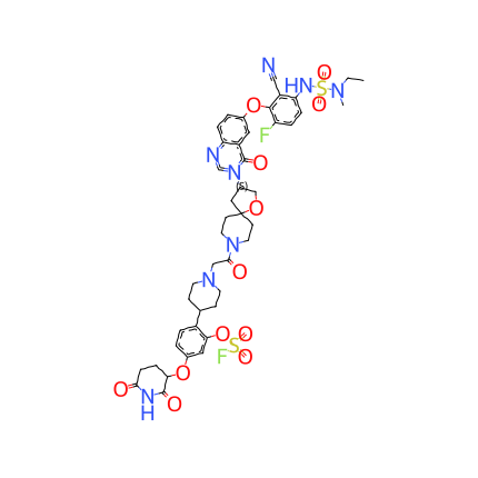 CCN(C)S(=O)(=O)Nc1ccc(F)c(Oc2ccc3ncn([C@@H]4COC5(CCN(C(=O)CN6CCC(c7ccc(OC8CCC(=O)NC8=O)cc7OS(=O)(=O)F)CC6)CC5)C4)c(=O)c3c2)c1C#N